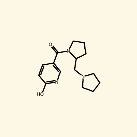 O=C(c1ccc(O)nc1)N1CCCC1CN1CCCC1